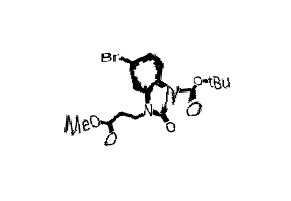 COC(=O)CCn1c(=O)n(C(=O)OC(C)(C)C)c2ccc(Br)cc21